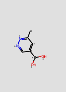 Cc1cc(B(O)O)cnn1